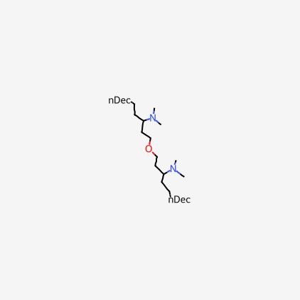 CCCCCCCCCCCCC(CCOCCC(CCCCCCCCCCCC)N(C)C)N(C)C